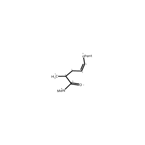 CCCCC/C=C\CC(C)C(=O)NC